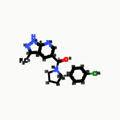 O=C(c1cnc2[nH]nc(C(F)(F)F)c2c1)N1CCC[C@H]1c1ccc(Cl)cc1